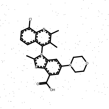 Cc1nc2c(Cl)cccc2c(-n2c(C)nc3c(C(=O)O)cc(N4CCOCC4)cc32)c1C